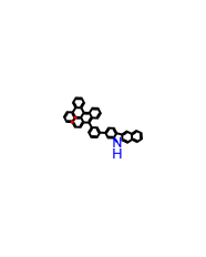 c1ccc(-c2ccccc2-c2c3ccccc3c(-c3cccc(-c4ccc5c(c4)[nH]c4cc6ccccc6cc45)c3)c3ccccc23)cc1